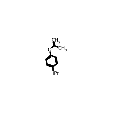 C=C(C)Oc1ccc(C(C)C)cc1